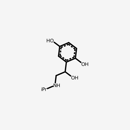 CC(C)NCC(O)c1cc(O)ccc1O